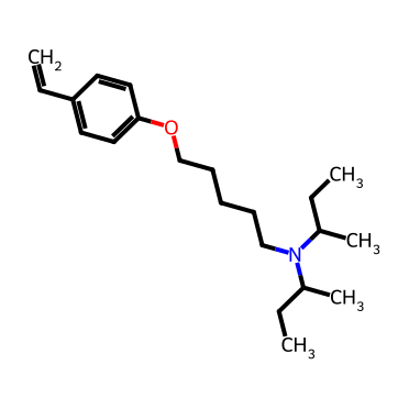 C=Cc1ccc(OCCCCCN(C(C)CC)C(C)CC)cc1